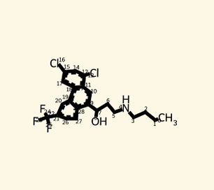 CCCCNCCC(O)c1cc2c(Cl)cc(Cl)cc2c2cc(C(F)(F)F)ccc12